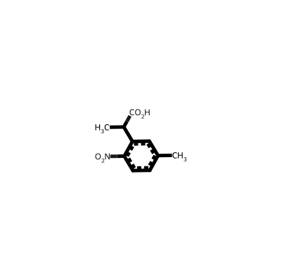 Cc1ccc([N+](=O)[O-])c(C(C)C(=O)O)c1